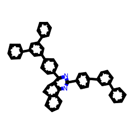 c1ccc(-c2cccc(-c3ccc(-c4nc(-c5ccc(-c6cc(-c7ccccc7)cc(-c7ccccc7)c6)cc5)c5ccc6ccccc6c5n4)cc3)c2)cc1